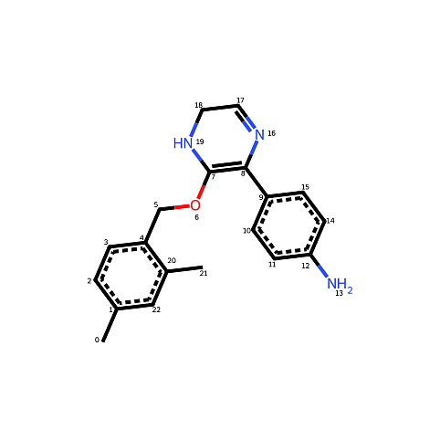 Cc1ccc(COC2=C(c3ccc(N)cc3)N=CCN2)c(C)c1